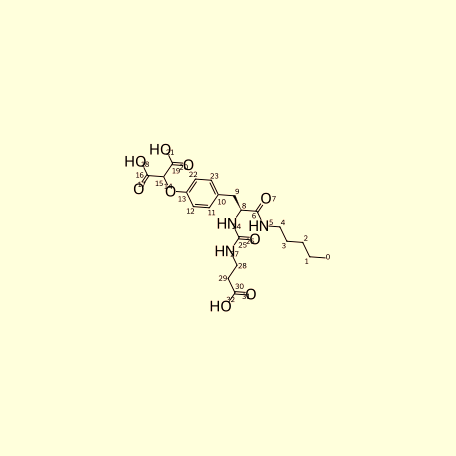 CCCCCNC(=O)[C@H](Cc1ccc(OC(C(=O)O)C(=O)O)cc1)NC(=O)NCCC(=O)O